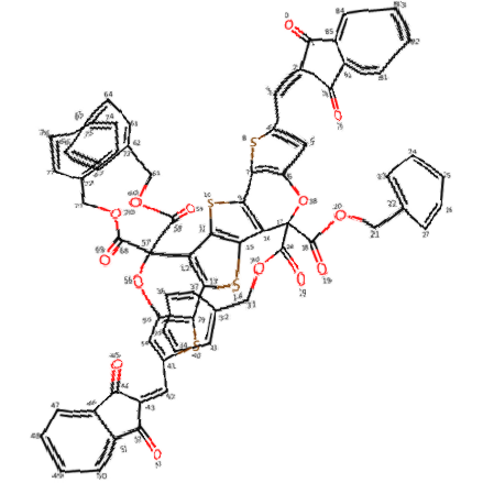 O=C1C(=Cc2cc3c(s2)-c2sc4c5c(sc4c2C(C(=O)OCc2ccccc2)(C(=O)OCc2ccccc2)O3)-c2sc(C=C3C(=O)c4ccccc4C3=O)cc2OC5(C(=O)OCc2ccccc2)C(=O)OCc2ccccc2)C(=O)c2ccccc21